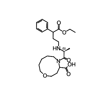 CCOC(=O)C(CCN[C@@H](C)C(=O)N1CCCCCOCCC1C(=O)O)c1ccccc1